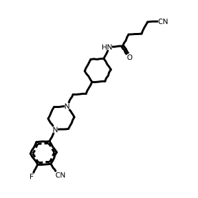 N#CCCCC(=O)NC1CCC(CCN2CCN(c3ccc(F)c(C#N)c3)CC2)CC1